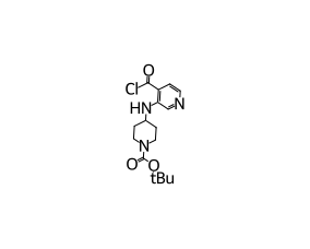 CC(C)(C)OC(=O)N1CCC(Nc2cnccc2C(=O)Cl)CC1